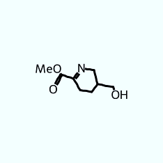 COC(=O)C1=NCC(CO)CC1